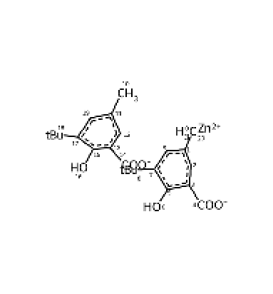 Cc1cc(C(=O)[O-])c(O)c(C(C)(C)C)c1.Cc1cc(C(=O)[O-])c(O)c(C(C)(C)C)c1.[Zn+2]